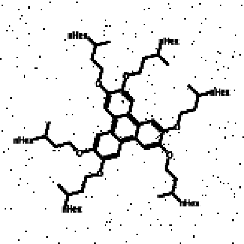 CCCCCCC(C)CCOc1cc2c3cc(OCCC(C)CCCCCC)c(OCCC(C)CCCCCC)cc3c3cc(OCCC(C)CCCCCC)c(OCCC(C)CCCCCC)cc3c2cc1OCCC(C)CCCCCC